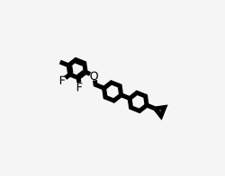 Cc1ccc(OCC2CCC(C3CCC(C4CC4)CC3)CC2)c(F)c1F